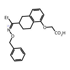 CC/C(=N/OCc1ccccc1)C1CCc2c(cccc2OCC(=O)O)C1